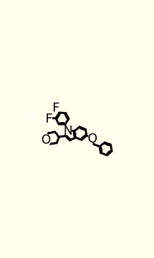 Fc1ccc(-n2c(C3CCOCC3)cc3cc(OCc4ccccc4)ccc32)cc1F